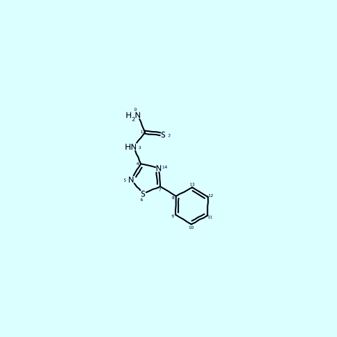 NC(=S)Nc1nsc(-c2ccccc2)n1